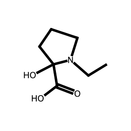 CCN1CCCC1(O)C(=O)O